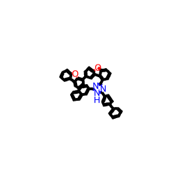 c1ccc(-c2ccc(C3N=C(c4cccc5oc6ccc(-c7cccc8c7oc7ccccc78)cc6c45)N=C(c4ccc5ccccc5c4)N3)cc2)cc1